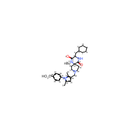 CCCCN1C(=O)C(CC2CCCCC2)NC(=O)C12CCN(Cc1cc(C)n(-c3ccc(C(=O)O)cc3)c1C)CC2